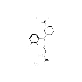 CCCCOC(=O)N1CCCC(C(OCCNC(=O)OC)c2cccc(F)c2F)C1